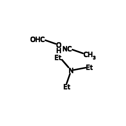 CC#N.CCN(CC)CC.O=CO